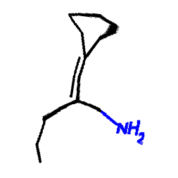 CCC(N)=C1CC1